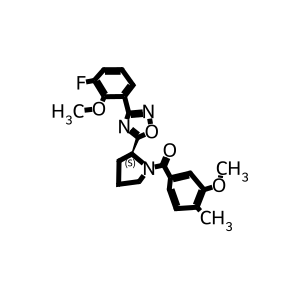 COc1cc(C(=O)N2CCC[C@H]2c2nc(-c3cccc(F)c3OC)no2)ccc1C